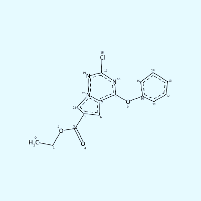 CCOC(=O)c1cc2c(Oc3ccccc3)nc(Cl)nn2c1